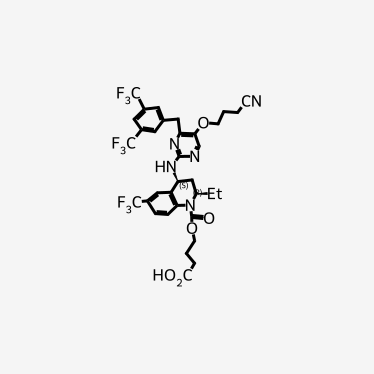 CC[C@@H]1C[C@H](Nc2ncc(OCCCC#N)c(Cc3cc(C(F)(F)F)cc(C(F)(F)F)c3)n2)c2cc(C(F)(F)F)ccc2N1C(=O)OCCCC(=O)O